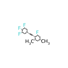 Cc1cc(C)c(C#Cc2cc(F)c(F)c(F)c2)c(F)c1